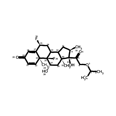 CC(C)OCC(=O)[C@@]1(O)[C@H](C)CC2C3C[C@H](F)C4=CC(=O)C=C[C@]4(C)[C@@]3(F)[C@@H](O)C[C@@]21C